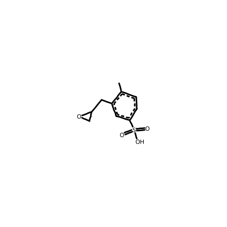 Cc1ccc(S(=O)(=O)O)cc1CC1CO1